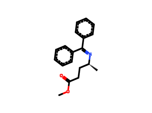 COC(=O)CC[C@@H](C)N=C(c1ccccc1)c1ccccc1